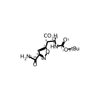 CC(C)(C)OC(=O)N[C@@H](Cc1cc(C(N)=O)no1)C(=O)O